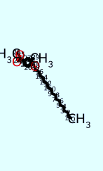 CCCCCCCCCCCCCCCCCCOc1ccc(C(=O)OC)cc1C